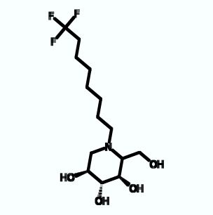 OCC1[C@@H](O)[C@H](O)[C@@H](O)CN1CCCCCCCC(F)(F)F